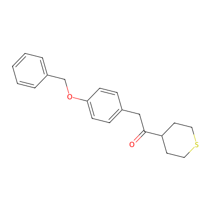 O=C(Cc1ccc(OCc2ccccc2)cc1)C1CCSCC1